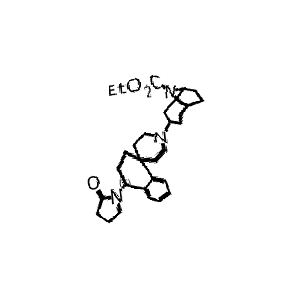 CCOC(=O)N1C2CCC3CC(N4CCC5(CC[C@H](N6CCCC6=O)c6ccccc65)CC4)CC321